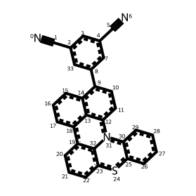 N#Cc1cc(C#N)cc(-c2ccc3c4c2cccc4c2cccc4sc5ccccc5n3-c42)c1